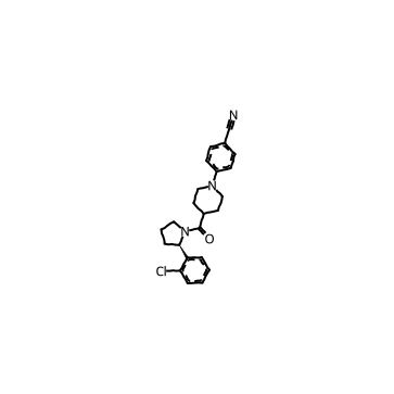 N#Cc1ccc(N2CCC(C(=O)N3CCC[C@@H]3c3ccccc3Cl)CC2)cc1